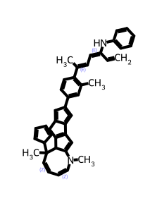 C=C/C(=C\C=C(/C)c1ccc(C2=C=C3C(=C2)CC2=C3C=C3C2C(C)(C2C=CC=C2)/C=C\C=C/N3C)cc1C)Nc1ccccc1